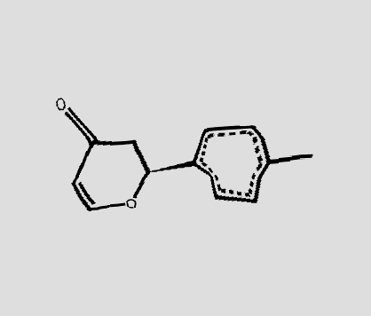 Cc1ccc([C@@H]2CC(=O)C=CO2)cc1